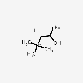 CCCCC(O)C[N+](C)(C)C.[I-]